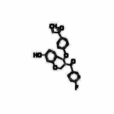 C=CC(=O)c1ccc(OC2c3ccc(O)cc3OCC2C(=O)c2ccc(F)cc2)cc1